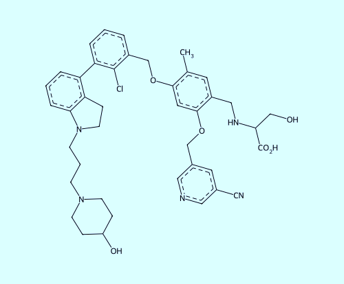 Cc1cc(CNC(CO)C(=O)O)c(OCc2cncc(C#N)c2)cc1OCc1cccc(-c2cccc3c2CCN3CCCN2CCC(O)CC2)c1Cl